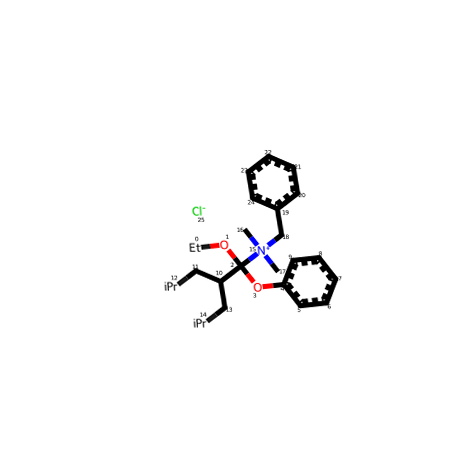 CCOC(Oc1ccccc1)(C(CC(C)C)CC(C)C)[N+](C)(C)Cc1ccccc1.[Cl-]